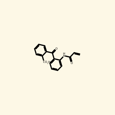 C=CC(=O)Nc1ccccc1C(=O)c1ccccc1C(=O)O